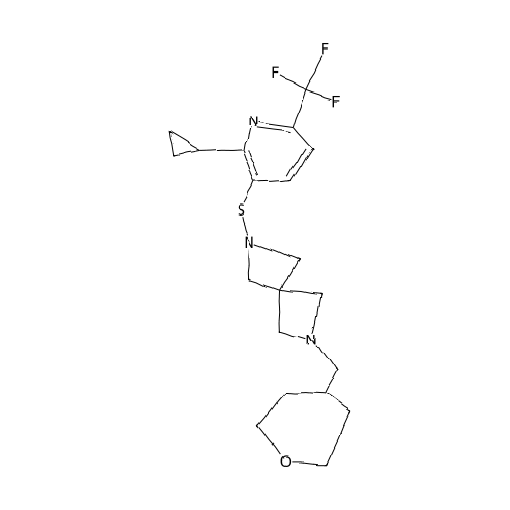 FC(F)(F)c1ccc(SN2CC3(CN(CC4CCOCC4)C3)C2)c(C2CC2)n1